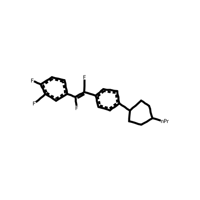 CCCC1CCC(c2ccc(/C(F)=C(\F)c3ccc(F)c(F)c3)cc2)CC1